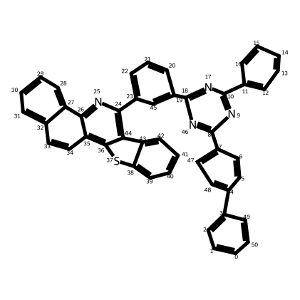 c1ccc(-c2ccc(-c3nc(-c4ccccc4)nc(-c4cccc(-c5nc6c7ccccc7ccc6c6sc7ccccc7c56)c4)n3)cc2)cc1